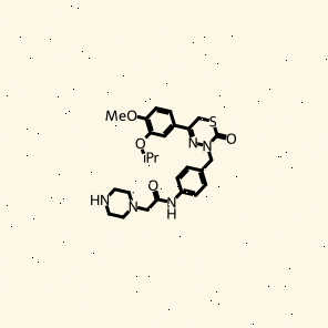 COc1ccc(C2=NN(Cc3ccc(NC(=O)CN4[CH]CNCC4)cc3)C(=O)SC2)cc1OC(C)C